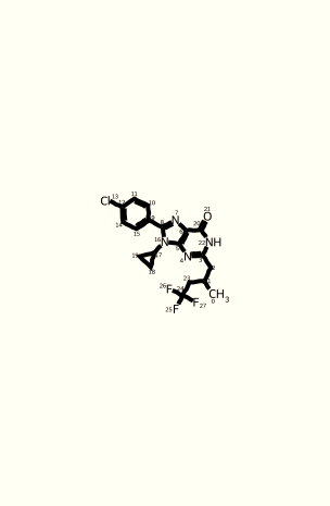 CC(Cc1nc2c(nc(-c3ccc(Cl)cc3)n2C2CC2)c(=O)[nH]1)CC(F)(F)F